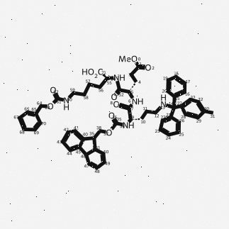 COC(=O)CC[C@H](NC(=O)[C@H](CCCNC(c1ccccc1)(c1ccccc1)c1ccc(C)cc1)NC(=O)OCC1c2ccccc2C2C=CC=CC21)C(=O)N[C@@H](CCCCNC(=O)OCc1ccccc1)C(=O)O